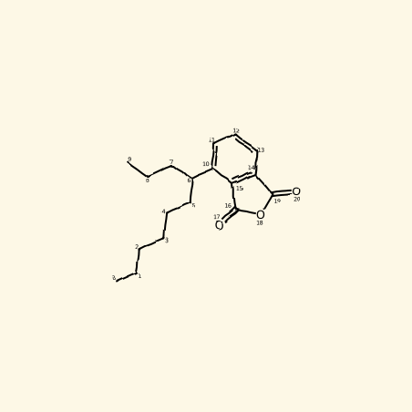 CCCCCCC(CCC)c1cccc2c1C(=O)OC2=O